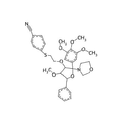 COc1cc(C2(N3CCOCC3)OC(c3ccccc3)C(OC)C2OCCSc2ccc(C#N)cc2)cc(OC)c1OC